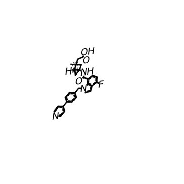 C[C@@]1(CC(=O)O)CC2(NC(=O)c3ccc(F)c4ccn(Cc5ccc(-c6ccncc6)cc5)c34)C[C@@H]21